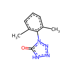 Cc1cccc(C)c1-n1nn[nH]c1=O